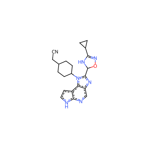 N#CCC1CCC(n2c(C3NC(C4CC4)=NO3)nc3cnc4[nH]ccc4c32)CC1